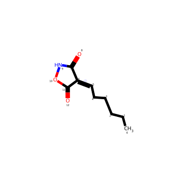 CCCCC/[C]=C1/C(=O)NOC1=O